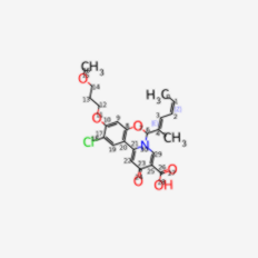 C/C=C\C=C(/C)C1Oc2cc(OCCCOC)c(Cl)cc2-c2cc(=O)c(C(=O)O)cn21